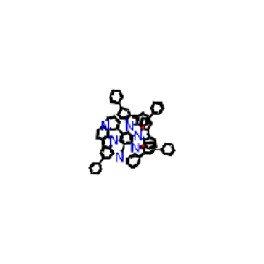 N#Cc1c(-n2c3ccccc3c3cc(-c4ccccc4)ccc32)c(-c2cccnc2)c(-n2c3ccccc3c3cc(-c4ccccc4)ccc32)c(-n2c3ccccc3c3cc(-c4ccccc4)ccc32)c1-n1c2ccccc2c2cc(-c3ccccc3)ccc21